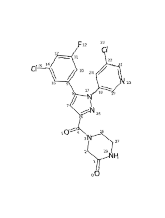 O=C1CN(C(=O)c2cc(-c3cc(F)cc(Cl)c3)n(-c3cncc(Cl)c3)n2)CCN1